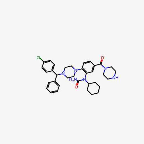 NC(=O)N(c1cc(C(=O)N2CCNCC2)ccc1N1CCN(C(c2ccccc2)c2ccc(Cl)cc2)CC1)C1CCCCC1